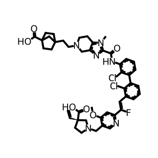 C=C[C@]1(C(=O)O)CCN(Cc2cnc(/C(F)=C/c3cccc(-c4cccc(NC(=O)c5nc6c(n5C)CCN(CCC57CCC(C(=O)O)(CC5)C7)C6)c4Cl)c3Cl)cc2OC)C1